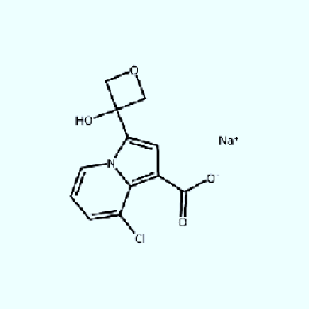 O=C([O-])c1cc(C2(O)COC2)n2cccc(Cl)c12.[Na+]